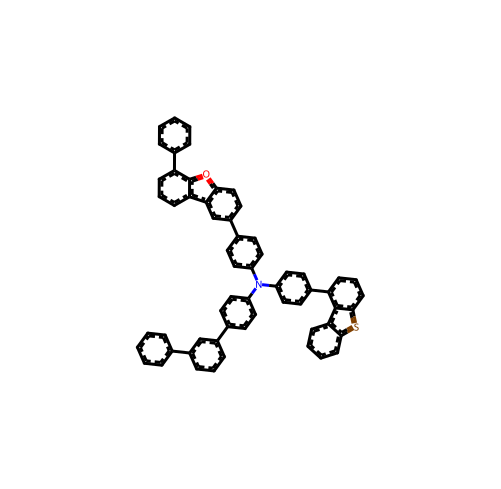 c1ccc(-c2cccc(-c3ccc(N(c4ccc(-c5ccc6oc7c(-c8ccccc8)cccc7c6c5)cc4)c4ccc(-c5cccc6sc7ccccc7c56)cc4)cc3)c2)cc1